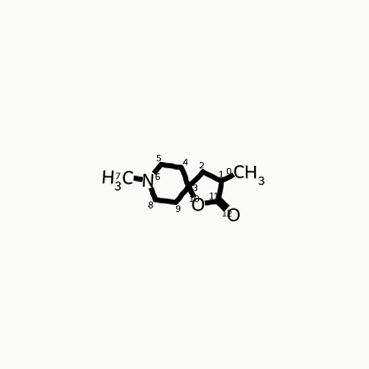 CC1CC2(CCN(C)CC2)OC1=O